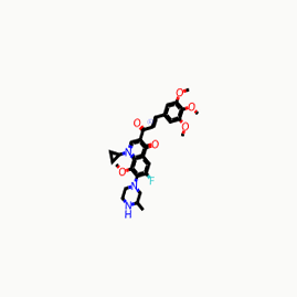 COc1cc(/C=C/C(=O)c2cn(C3CC3)c3c(OC)c(N4CCNC(C)C4)c(F)cc3c2=O)cc(OC)c1OC